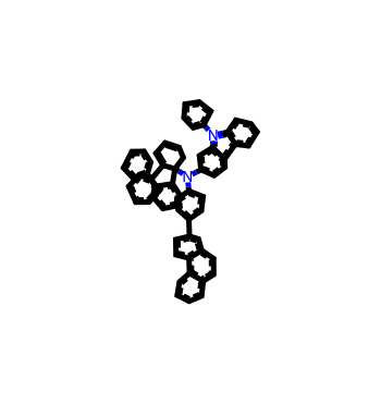 C1=CCC(c2ccccc2-c2ccccc2)(N(c2ccc(-c3ccc4c(ccc5ccccc54)c3)cc2)c2ccc3c4ccccc4n(-c4ccccc4)c3c2)C(c2ccccc2)=C1